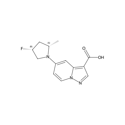 C[C@H]1C[C@@H](F)CN1c1ccn2ncc(C(=O)O)c2c1